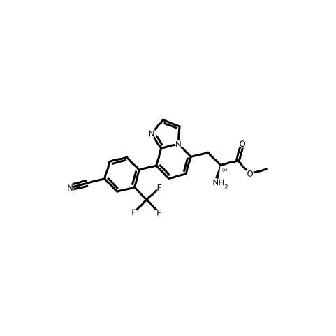 COC(=O)[C@@H](N)Cc1ccc(-c2ccc(C#N)cc2C(F)(F)F)c2nccn12